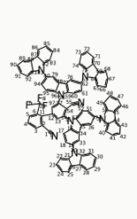 N#Cc1cccc(C(F)(F)F)c1-c1cc(-n2c3ccc(-n4c5ccccc5c5ccccc54)cc3c3cc(-n4c5ccccc5c5ccccc54)ccc32)c(C#N)c(-n2c3ccc(-n4c5ccccc5c5ccccc54)cc3c3cc(-n4c5ccccc5c5ccccc54)ccc32)c1